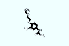 CCOCCOc1ccc(NC(C)=O)cc1N